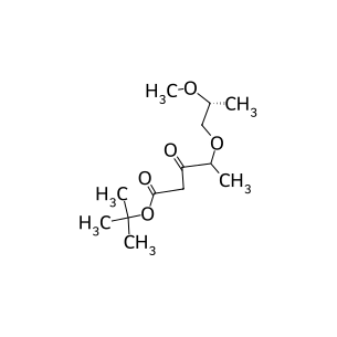 CO[C@H](C)COC(C)C(=O)CC(=O)OC(C)(C)C